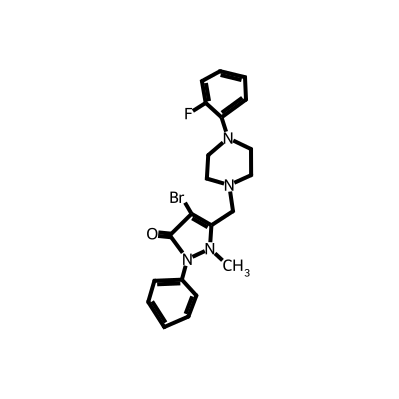 Cn1c(CN2CCN(c3ccccc3F)CC2)c(Br)c(=O)n1-c1ccccc1